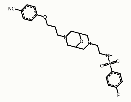 N#Cc1ccc(OCCCN2CC3CN(CCNS(=O)(=O)c4ccc(F)cc4)CC(C2)O3)cc1